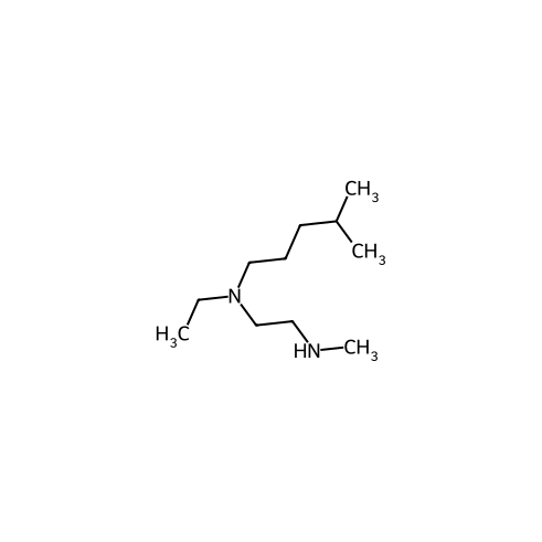 CCN(CCCC(C)C)CCNC